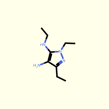 CCNc1c(N)c(CC)nn1CC